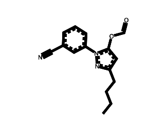 CCCCc1cc(OC=O)n(-c2cccc(C#N)c2)n1